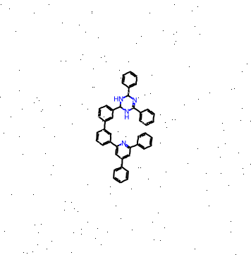 c1ccc(C2=NC(c3ccccc3)NC(c3cccc(-c4cccc(-c5cc(-c6ccccc6)cc(-c6ccccc6)n5)c4)c3)N2)cc1